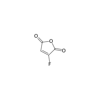 O=C1C=C(F)C(=O)O1